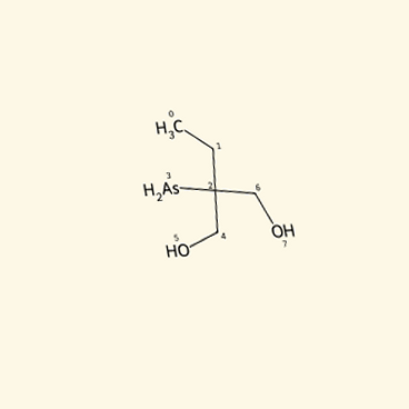 CCC([AsH2])(CO)CO